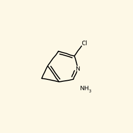 Clc1cc2c(cn1)C2.N